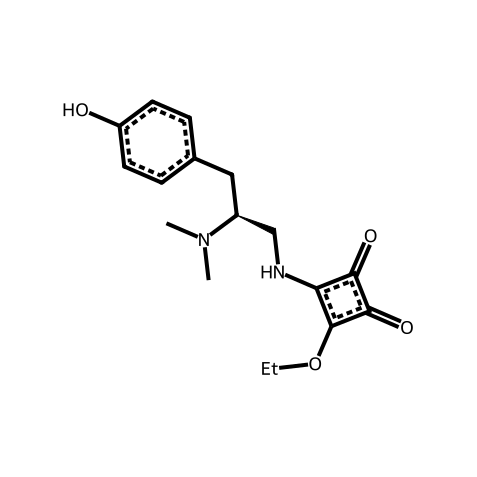 CCOc1c(NC[C@H](Cc2ccc(O)cc2)N(C)C)c(=O)c1=O